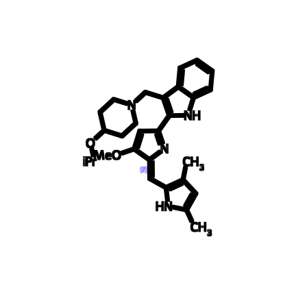 COC1=CC(c2[nH]c3ccccc3c2CN2CCC(OC(C)C)CC2)=N/C1=C\c1[nH]c(C)cc1C